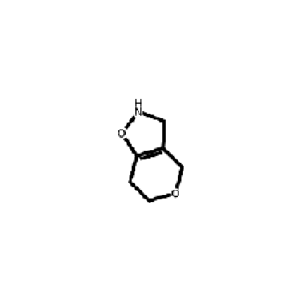 C1CC2=C(CNO2)CO1